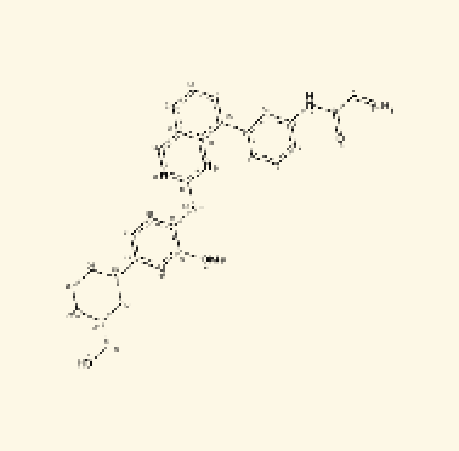 C=CC(=O)Nc1cccc(-c2cccc3cnc(Nc4ccc(N5CCO[C@@H](CO)C5)nc4OC)nc23)c1